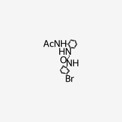 CC(=O)Nc1ccccc1NCC(=O)Nc1cccc(Br)c1